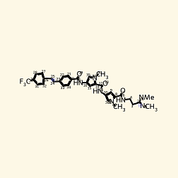 C/N=C(/CCNC(=O)c1cc(NC(=O)c2cc(NC(=O)c3ccc(/C=C/c4ccc(C(F)(F)F)cc4)cc3)cn2C)cn1C)NC